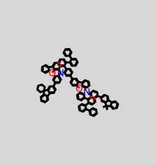 CC1(C)c2ccccc2-c2ccc(-c3ccc(N(c4ccccc4-c4ccccc4-c4ccccc4-c4ccccc4)c4cccc5c4oc4ccc(-c6ccc(-c7ccccc7-c7ccccc7-c7ccccc7)c(N(c7ccc(-c8ccc9c(c8)C8(CCCCC8)c8ccccc8-9)cc7)c7cccc8c7oc7ccccc78)c6)cc45)cc3)cc21